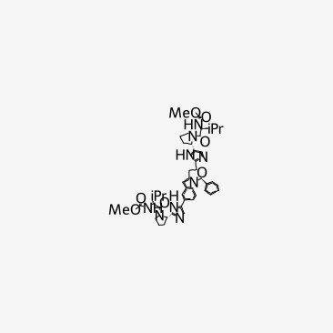 COC(=O)N[C@H](C(=O)N1CCC[C@H]1c1cnc(C2Cc3cc4cc(-c5cnc([C@@H]6CCCN6C(=O)[C@@H](NC(=O)OC)C(C)C)[nH]5)ccc4n3[C@H](c3ccccc3)O2)[nH]1)C(C)C